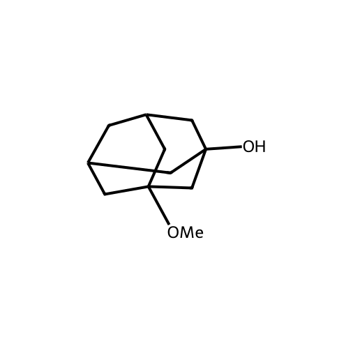 COC12CC3CC(CC(O)(C3)C1)C2